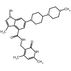 Cc1cc(C)c(CNC(=O)c2cc(N3CCC(N4CCN(C)CC4)CC3)cc3c2c(C)cn3C(C)C)c(=O)[nH]1